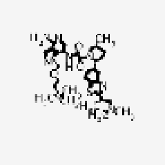 CC(CN(C)C)c1nc2cc([C@H]3CC[C@H](C)CN3C(=O)C(=O)Nc3cnc(N)c4cnn(COCC[Si](C)(C)C)c34)ccc2s1